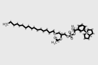 CCCCCCCCCCCCCCCCOCC(COP(=O)([O-])OC(C)c1cccc([N+]23CCCC2CCC3)c1)OC(C)=O